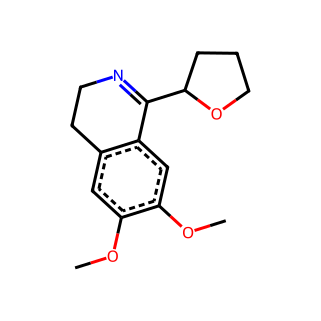 COc1cc2c(cc1OC)C(C1CCCO1)=NCC2